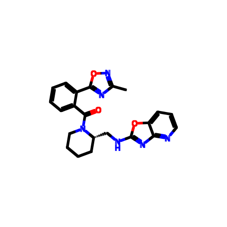 Cc1noc(-c2ccccc2C(=O)N2CCCC[C@H]2CNc2nc3ncccc3o2)n1